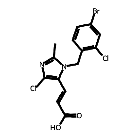 Cc1nc(Cl)c(C=CC(=O)O)n1Cc1ccc(Br)cc1Cl